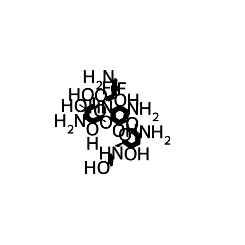 NCC(F)(F)C(O)C(=O)N[C@@H]1C[C@H](N)C(O[C@H]2O[C@H](CNCCO)[C@@H](O)C[C@H]2N)[C@H](O)[C@H]1O[C@H]1O[C@H](CO)[C@@H](O)[C@H](N)[C@H]1O